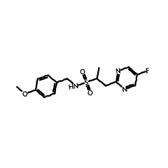 COc1ccc(CNS(=O)(=O)C(C)Cc2ncc(F)cn2)cc1